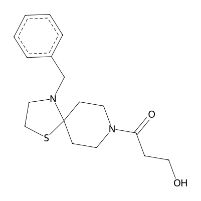 O=C(CCO)N1CCC2(CC1)SCCN2Cc1ccccc1